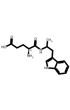 CC(Cc1c[nH]c2ccccc12)NC(=O)[C@@H](N)CCC(=O)O